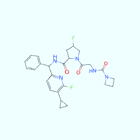 O=C(NC(c1ccccc1)c1ccc(C2CC2)c(F)n1)C1CC(F)CN1C(=O)CNC(=O)N1CCC1